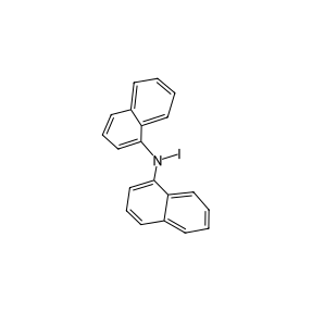 IN(c1cccc2ccccc12)c1cccc2ccccc12